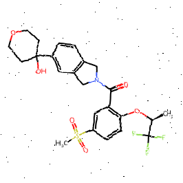 C[C@H](Oc1ccc(S(C)(=O)=O)cc1C(=O)N1Cc2ccc(C3(O)CCOCC3)cc2C1)C(F)(F)F